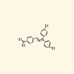 CCc1ccc(N(/N=C/c2ccc(N(CC)CC)cc2)c2ccc(CC)cc2)cc1